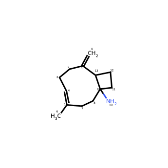 C=C1CC/C=C(\C)CCC2(N)CCC12